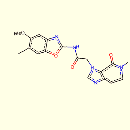 COc1cc2nc(NC(=O)Cn3cnc4ccn(C)c(=O)c43)oc2cc1C